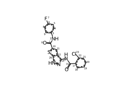 O=C(Nc1ccc(F)cc1)c1cc2c(NC(=O)c3ccccc3Cl)n[nH]c2s1